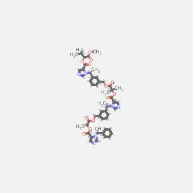 COC(=O)[C@@H](OC(=O)c1cncn1[C@H](C)c1cccc(COC(=O)C(C)(C)OC(=O)c2cncn2[C@H](C)c2cccc(COC(=O)[C@@H](C)OC(=O)c3cncn3[C@H](C)c3ccccc3)c2)c1)C(C)C